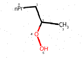 CCCCC(C)OO